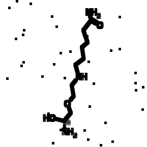 NC(=O)CCCCCNCCOC[C@H](N)O